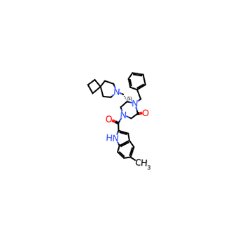 Cc1ccc2[nH]c(C(=O)N3CC(=O)N(Cc4ccccc4)[C@@H](CN4CCC5(CCC5)CC4)C3)cc2c1